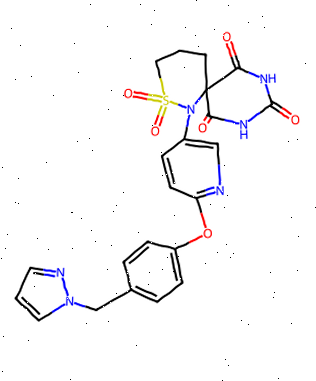 O=C1NC(=O)C2(CCCS(=O)(=O)N2c2ccc(Oc3ccc(Cn4cccn4)cc3)nc2)C(=O)N1